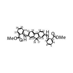 COC(=O)c1ccccc1Nc1ccc2c(c1)C(C)(C)c1cc(Nc3ccccc3C(=O)OC)ccc1-2